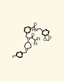 CCC(CC)C(=O)N(Cc1cccc(C(=O)NCc2ccc3c(c2)OCO3)c1)C1CCN(Cc2ccc(F)cc2)CC1